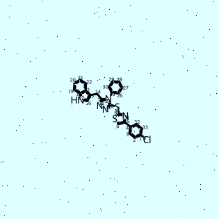 Clc1ccc(-c2csc(Sc3nnc(Cc4c[nH]c5ccccc45)n3-c3ccccc3)n2)cc1